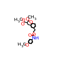 COC(=O)C(Cc1cccc(CCOC(=O)Nc2ccc(OC)cc2)c1)C(=O)OC